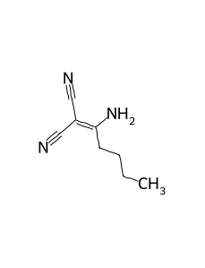 CCCCC(N)=C(C#N)C#N